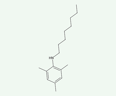 CCCCCCCCNc1c(C)cc(C)cc1C